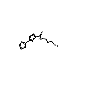 CCCCNC(=O)c1ccc(-c2ccco2)s1